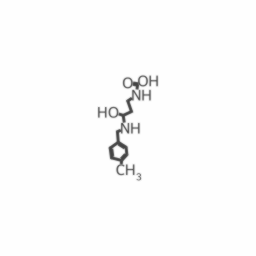 Cc1ccc(CNC(O)CCNC(=O)O)cc1